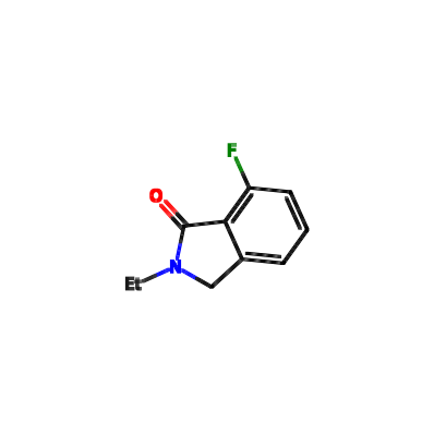 CCN1Cc2cccc(F)c2C1=O